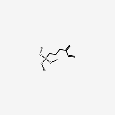 C=CC(=C)CCC[Si](OCC)(OCC)OCC